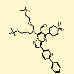 C[Si](C)(C)CCOCN(COCC[Si](C)(C)C)c1c(C=O)c(C2CCS(=O)(=O)CC2)nc2c(-c3ccc(-c4ccccc4)nc3)cnn12